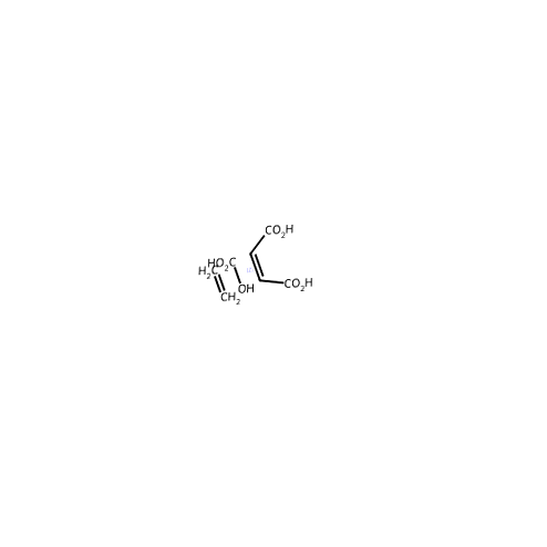 C=C.O=C(O)/C=C\C(=O)O.O=C(O)O